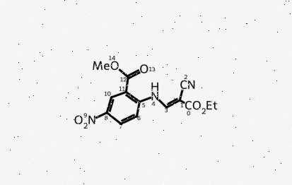 CCOC(=O)C(C#N)=CNc1ccc([N+](=O)[O-])cc1C(=O)OC